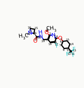 COc1nc(OC2CCC(C(F)(F)F)CC2)c(F)cc1CNC(=O)[C@@H]1CCN1C